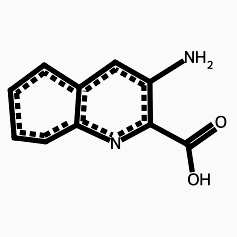 Nc1cc2ccccc2nc1C(=O)O